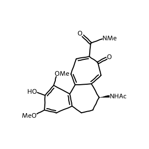 CNC(=O)c1ccc2c(cc1=O)[C@@H](NC(C)=O)CCc1cc(OC)c(O)c(OC)c1-2